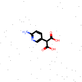 Nc1ccc(C(C(=O)O)C(=O)O)cn1